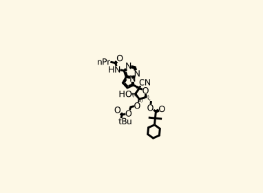 CCCC(=O)Nc1ncnn2c([C@]3(C#N)O[C@H](COC(=O)C(C)(C)C4CCCCC4)[C@@H](OCOC(=O)C(C)(C)C)[C@H]3O)ccc12